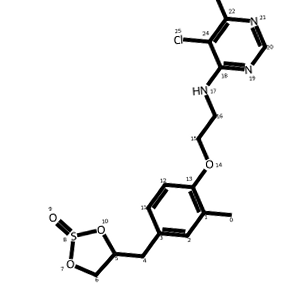 Cc1cc(CC2COS(=O)O2)ccc1OCCNc1ncnc(C)c1Cl